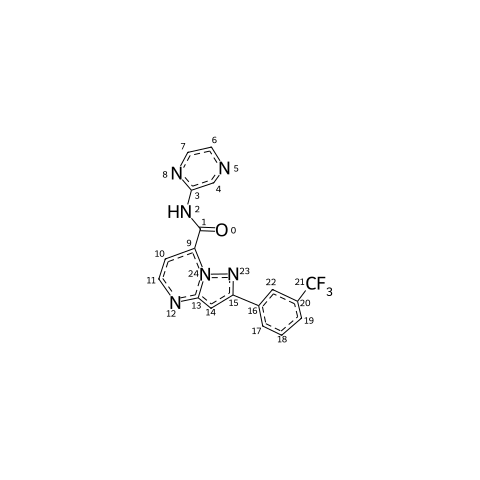 O=C(Nc1cnccn1)c1ccnc2cc(-c3cccc(C(F)(F)F)c3)nn12